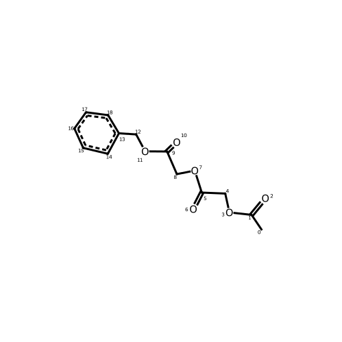 CC(=O)OCC(=O)OCC(=O)OCc1ccccc1